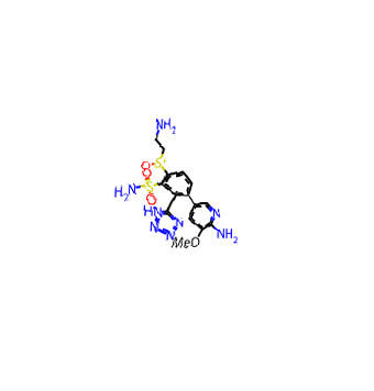 COc1cc(-c2ccc([S+]([O-])CCN)c(S(N)(=O)=O)c2-c2nnn[nH]2)cnc1N